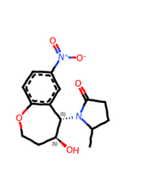 CC1CCC(=O)N1[C@H]1c2cc([N+](=O)[O-])ccc2OCC[C@@H]1O